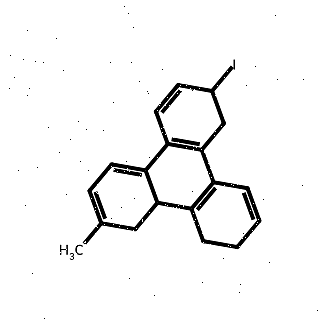 CC1=CC=C2C3=C(CC(I)C=C3)C3=C(CCC=C3)C2C1